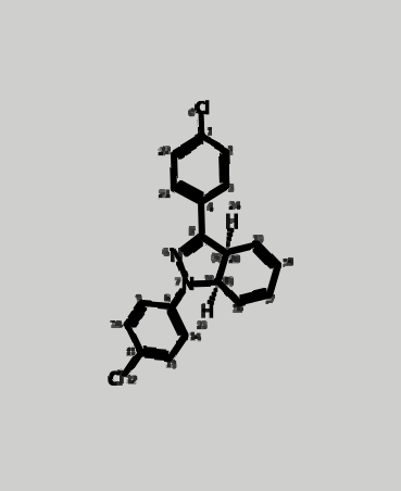 Clc1ccc(C2=NN(c3ccc(Cl)cc3)[C@@H]3C=CC=C[C@H]23)cc1